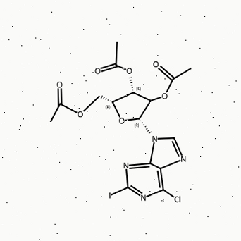 CC(=O)OC[C@H]1O[C@@H](n2cnc3c(Cl)nc(I)nc32)C(OC(C)=O)[C@H]1OC(C)=O